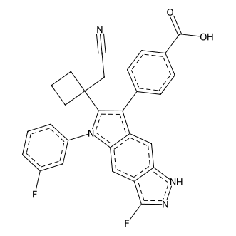 N#CCC1(c2c(-c3ccc(C(=O)O)cc3)c3cc4[nH]nc(F)c4cc3n2-c2cccc(F)c2)CCC1